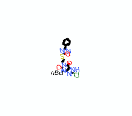 CCCCn1c(=O)n(CCSc2nc(-c3ccccc3)no2)c(=O)c2[nH]c(Cl)nc21